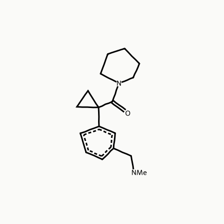 CNCc1cccc(C2(C(=O)N3CCCCC3)CC2)c1